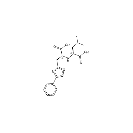 CC(C)C[C@H](N[C@@H](Cc1nc(-c2ccccc2)co1)C(=O)O)C(=O)O